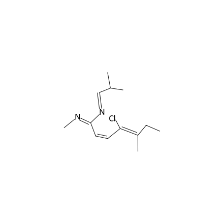 CC/C(C)=C(Cl)/C=C\C(\N=C\C(C)C)=N/C